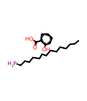 CCCCCCCCCCCCCCP.O=C(O)c1ccccc1O